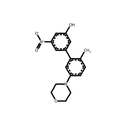 Cc1ccc(N2CCOCC2)cc1-c1cc(O)cc([N+](=O)[O-])c1